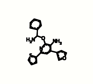 Nc1c(-c2ccoc2)cc(-c2cccs2)nc1OC(N)c1ccccc1